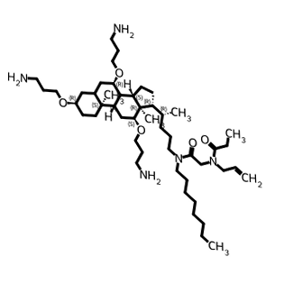 C=CCN(CC(=O)N(CCCCCCCC)CCC[C@@H](C)[C@H]1CC[C@H]2C3[C@H](OCCCN)CC4C[C@H](OCCCN)CC[C@]4(C)[C@H]3C[C@H](OCCCN)[C@]12C)C(=O)CC